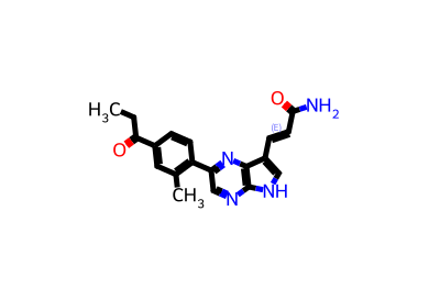 CCC(=O)c1ccc(-c2cnc3[nH]cc(/C=C/C(N)=O)c3n2)c(C)c1